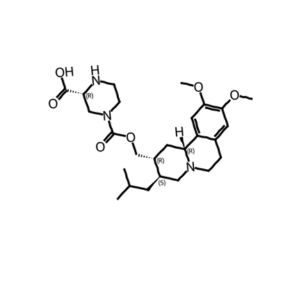 COc1cc2c(cc1OC)[C@H]1C[C@@H](COC(=O)N3CCN[C@@H](C(=O)O)C3)[C@H](CC(C)C)CN1CC2